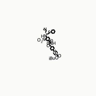 CC(C)COC(=O)N1CCN(c2ccc(C(=O)NS(=O)(=O)c3ccc(N[C@H](CCN(C)C)CSc4ccccc4)c([N+](=O)[O-])c3)cc2)CC1